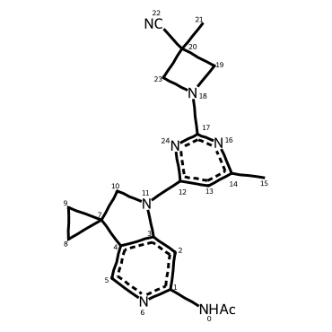 CC(=O)Nc1cc2c(cn1)C1(CC1)CN2c1cc(C)nc(N2CC(C)(C#N)C2)n1